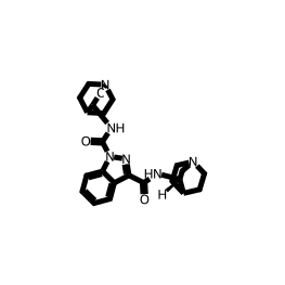 O=C(N[C@@H]1CN2CCC1CC2)c1nn(C(=O)NC2CN3CCC2CC3)c2ccccc12